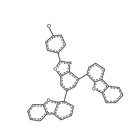 Clc1ccc(-c2nc3c(-c4cccc5c4oc4ccccc45)cc(-c4cccc5c4oc4ccccc45)cc3o2)cc1